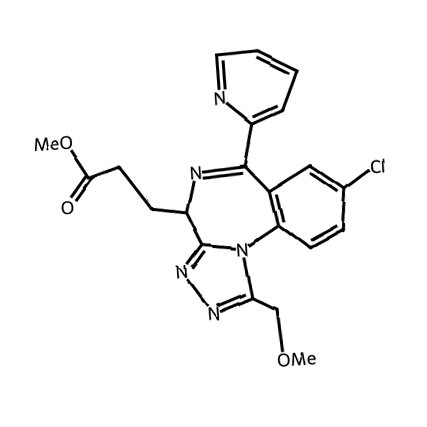 COCc1nnc2n1-c1ccc(Cl)cc1C(c1ccccn1)=NC2CCC(=O)OC